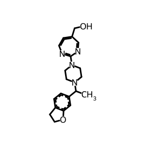 CC(c1ccc2c(c1)OCC2)N1CCN(C2=NC=C=C(CO)C=N2)CC1